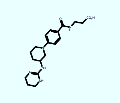 O=C(O)CCNC(=O)c1ccc(N2CCCC(NC3=NCCCN3)C2)cc1